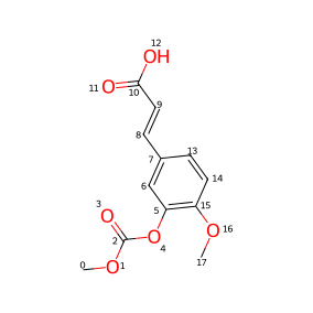 COC(=O)Oc1cc(C=CC(=O)O)ccc1OC